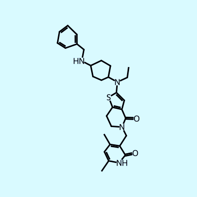 CCN(c1cc2c(s1)CCN(Cc1c(C)cc(C)[nH]c1=O)C2=O)C1CCC(NCc2ccccc2)CC1